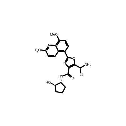 CC[C@H](N)c1oc(-c2ccc(OC)c3nc(C(F)(F)F)ccc23)nc1C(=O)N[C@@H]1CCC[C@H]1O